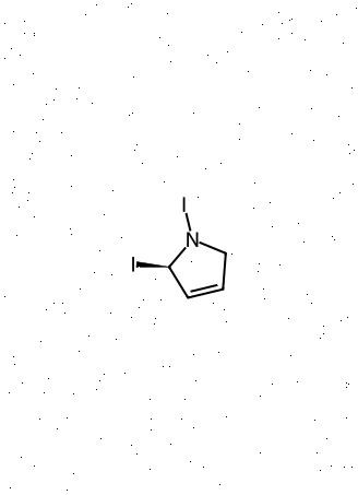 I[C@@H]1C=CCN1I